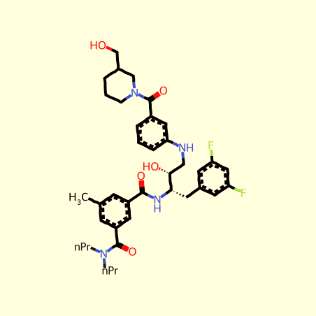 CCCN(CCC)C(=O)c1cc(C)cc(C(=O)N[C@@H](Cc2cc(F)cc(F)c2)[C@H](O)CNc2cccc(C(=O)N3CCCC(CO)C3)c2)c1